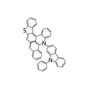 c1ccc(-n2c3ccccc3c3ccc(N(c4ccccc4-c4cccc5sc6ccccc6c45)c4cccc5ccccc45)cc32)cc1